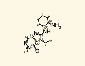 CCn1c(N[C@@H]2CCCC[C@H]2N)nc2cnn(C)c(=O)c21